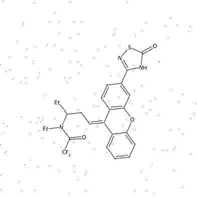 CCC(C/C=C1/c2ccccc2Oc2cc(-c3nsc(=O)[nH]3)ccc21)N(CC)C(=O)C(F)(F)F